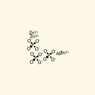 O=P([O-])([O-])[O-].O=P([O-])([O-])[O-].O=P([O-])([O-])[O-].[Al+3].[Zn+2].[Zn+2].[Zn+2]